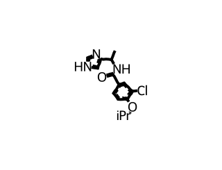 CC(C)Oc1ccc(C(=O)NC(C)c2c[nH]cn2)cc1Cl